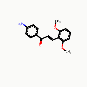 COc1cccc(OC)c1C=CC(=O)c1ccc(N)cc1